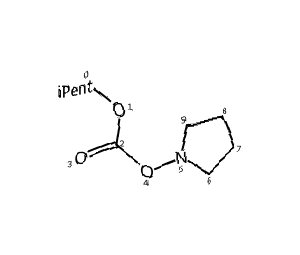 CCCC(C)OC(=O)ON1CCCC1